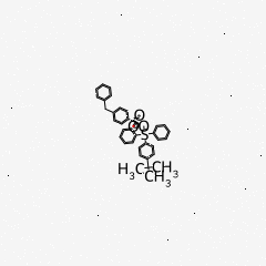 CC(C)(C)c1ccc(S(OS(=O)(=O)c2ccc(Cc3ccccc3)cc2)(c2ccccc2)c2ccccc2)cc1